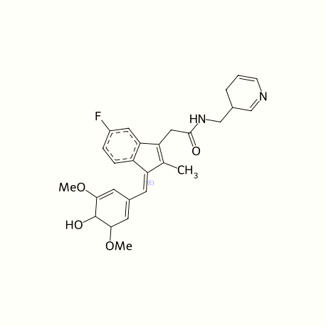 COC1=CC(/C=C2/C(C)=C(CC(=O)NCC3C=NC=CC3)c3cc(F)ccc32)=CC(OC)C1O